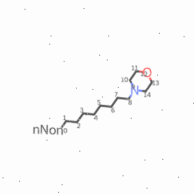 [CH2]CCCCCCCCCCCCCCCCN1CCOCC1